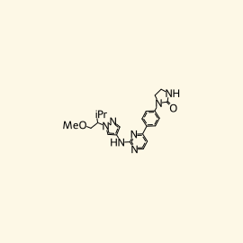 COCC(C(C)C)n1cc(Nc2nccc(-c3ccc(N4CCNC4=O)cc3)n2)cn1